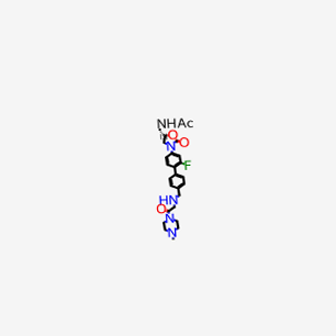 CC(=O)NC[C@H]1CN(c2ccc(-c3ccc(CNCC(=O)N4CCN(C)CC4)cc3)c(F)c2)C(=O)O1